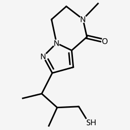 CC(CS)C(C)c1cc2n(n1)CCN(C)C2=O